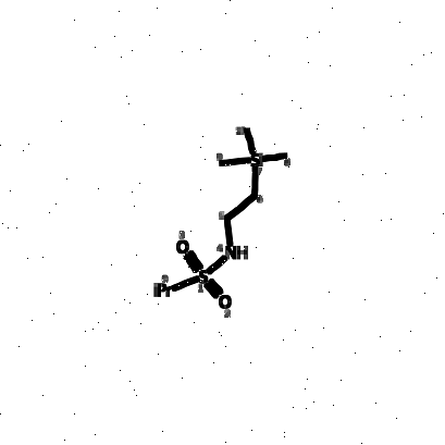 CC(C)S(=O)(=O)NCC[Si](C)(C)C